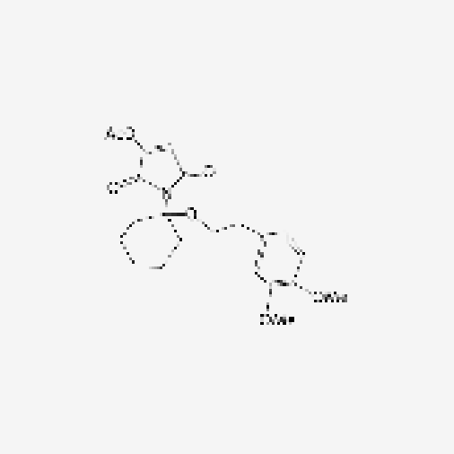 COc1ccc(CCOC2(N3C(=O)C=C(OC(C)=O)C3=O)CCCCC2)cc1OC